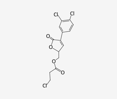 O=C(CCCl)OCC1C=C(c2ccc(Cl)c(Cl)c2)C(=O)O1